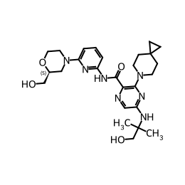 CC(C)(CO)Nc1cnc(C(=O)Nc2cccc(N3CCO[C@H](CO)C3)n2)c(N2CCC3(CC2)CC3)n1